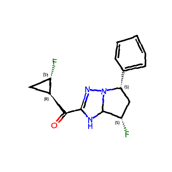 O=C(C1=NN2C(N1)[C@@H](F)C[C@H]2c1ccccc1)[C@H]1C[C@@H]1F